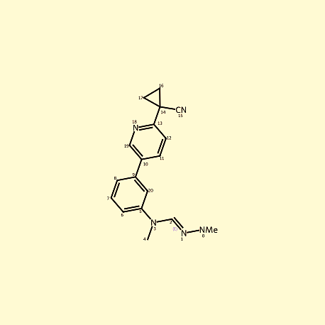 CN/N=C/N(C)c1cccc(-c2ccc(C3(C#N)CC3)nc2)c1